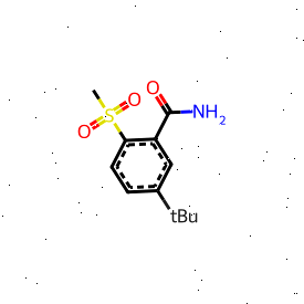 CC(C)(C)c1ccc(S(C)(=O)=O)c(C(N)=O)c1